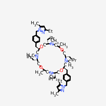 CCc1cc(C)n(Cc2ccc(C[C@@H]3CN(C)[C@@H](CC(C)C)CO[C@H](C)CN(C)[C@@H](CC(C)C)CO[C@H](Cc4ccc(Cn5nc(C)cc5CC)cc4)CN(C)[C@@H](CC(C)C)CO[C@H](C)CN(C)[C@@H](CC(C)C)CO3)cc2)n1